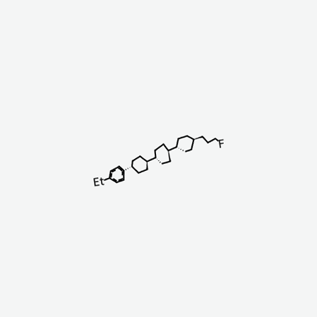 CCc1ccc([C@H]2CC[C@H]([C@H]3CC[C@H]([C@H]4CC[C@H](CCCF)CC4)CC3)CC2)cc1